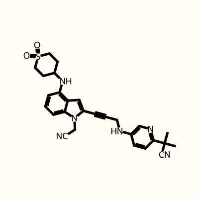 CC(C)(C#N)c1ccc(NCC#Cc2cc3c(NC4CCS(=O)(=O)CC4)cccc3n2CC#N)cn1